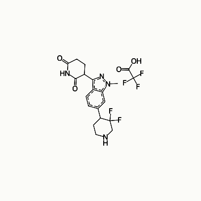 Cn1nc(C2CCC(=O)NC2=O)c2ccc(C3CCNCC3(F)F)cc21.O=C(O)C(F)(F)F